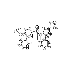 CC(C)Oc1ccc(C(=O)Nc2cn(C3COC3)nc2-c2ccccn2)nc1-c1cccnc1